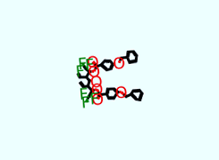 C=CC(C(=O)C(C=C)C(OC(=O)c1ccc(OCc2ccccc2)cc1)C(F)(F)F)C(OC(=O)c1ccc(OCc2ccccc2)cc1)C(F)(F)F